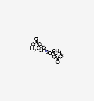 CC1(C)c2cc(/C=C/C3=CC=C4c5ccc(N(c6ccccc6)c6ccccc6)cc5C(C)(C)C4C3)ccc2-c2ccc(N(C3C=CC=CC3)C3CC=CCC3)cc21